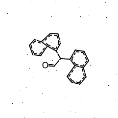 O=CC(c1cccc2ccccc12)c1cccc2ccccc12